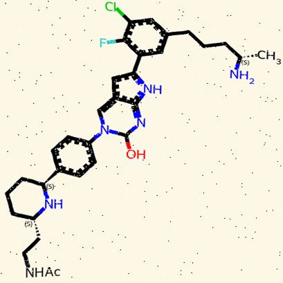 CC(=O)NCC[C@@H]1CCC[C@@H](c2ccc(N3C=c4cc(-c5cc(CCC[C@H](C)N)cc(Cl)c5F)[nH]c4=NC3O)cc2)N1